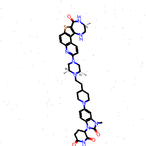 C[C@@H]1CNc2c(sc3ccc4nc(N5C[C@@H](C)N(CCC6CCN(c7ccc8c(c7)n(C)c(=O)n8C7CCC(=O)NC7=O)CC6)[C@@H](C)C5)ccc4c23)C(=O)N1